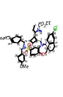 C=CC([C@@H]1CC[C@H]1CN1C[C@@]2(CCCc3cc(Cl)ccc32)COc2ccc(S(=O)(=O)N(Cc3ccc(OC)cc3)Cc3ccc(OC)cc3)cc21)N(C)C(=O)OCC